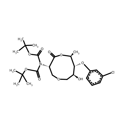 C[C@@H]1OC(=O)[C@@H](N(C(=O)OC(C)(C)C)C(=O)OC(C)(C)C)COC[C@H](O)[C@H]1Oc1cccc(Cl)c1